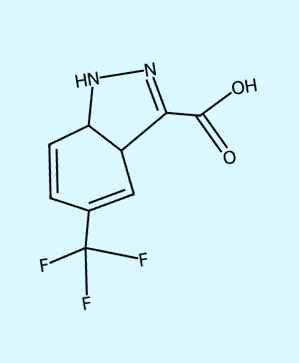 O=C(O)C1=NNC2C=CC(C(F)(F)F)=CC12